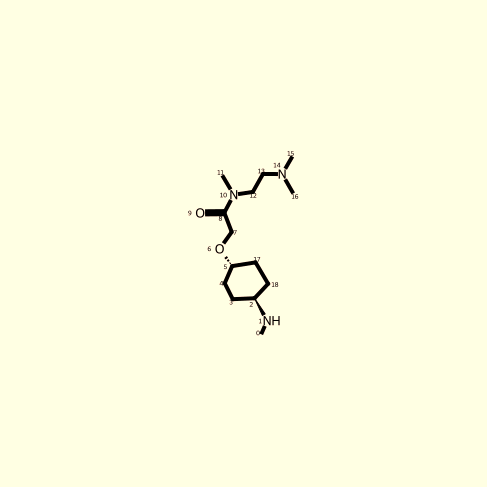 CN[C@H]1CC[C@H](OCC(=O)N(C)CCN(C)C)CC1